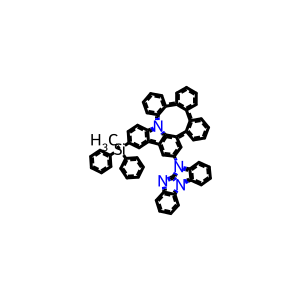 C[Si](c1ccccc1)(c1ccccc1)c1ccc2c(c1)c1cc(-n3c4ccccc4n4c5ccccc5nc34)cc3c4ccccc4c4ccccc4c4ccccc4n2c31